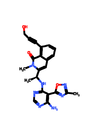 Cc1noc(-c2c(N)ncnc2N[C@@H](C)c2cc3cccc(C#CCO)c3c(=O)n2C)n1